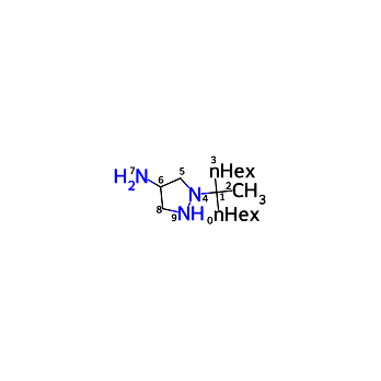 CCCCCCC(C)(CCCCCC)N1CC(N)CN1